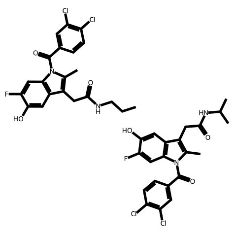 CCCNC(=O)Cc1c(C)n(C(=O)c2ccc(Cl)c(Cl)c2)c2cc(F)c(O)cc12.Cc1c(CC(=O)NC(C)C)c2cc(O)c(F)cc2n1C(=O)c1ccc(Cl)c(Cl)c1